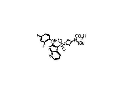 CC(C)(C)N(C(=O)O)C1CN(S(=O)(=O)c2c(Nc3ccc(I)cc3F)sc3ncccc23)C1